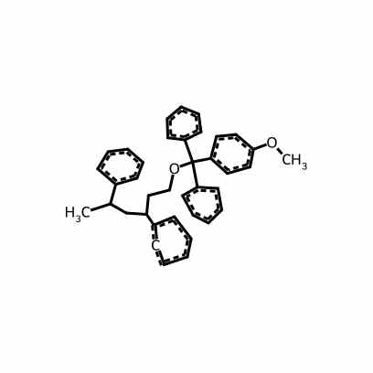 COc1ccc(C(OCCC(CC(C)c2ccccc2)c2ccccc2)(c2ccccc2)c2ccccc2)cc1